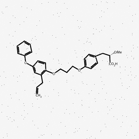 C=CCc1cc(Oc2ccccc2)ccc1OCCCOc1ccc(C[C@H](OC)C(=O)O)cc1